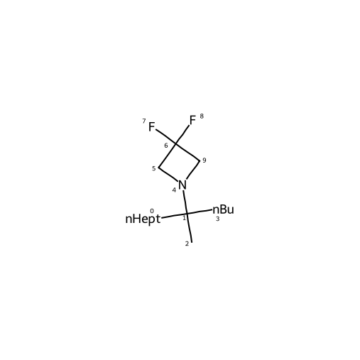 CCCCCCCC(C)(CCCC)N1CC(F)(F)C1